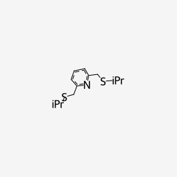 CC(C)SCc1cccc(CSC(C)C)n1